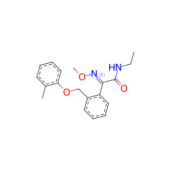 CCNC(=O)/C(=N/OC)c1ccccc1COc1ccccc1C